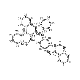 c1ccc2c(c1)ccc1c3cc(-n4c5ccccc5c5c6ccccc6c6c7ccccc7ccc6c54)ccc3sc21